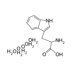 NC(Cc1c[nH]c2ccccc12)C(=O)O.O.O.O.O.O